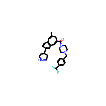 CC1=Cc2ccc(C3CCNCC3)cc2C=C(C(=O)N2CCN(Cc3ccc(C(F)F)cc3)CC2)C1